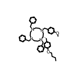 CCCCOc1ccc(C[C@H]2CN(Cc3ccc(OC)cc3)CCN(Cc3ccccc3)CCN(Cc3ccccc3)CCN2Cc2ccccc2)cc1